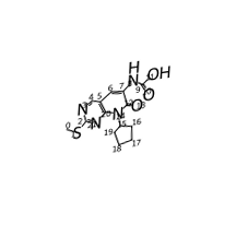 CSc1ncc2cc(NC(=O)O)c(=O)n(C3CCCC3)c2n1